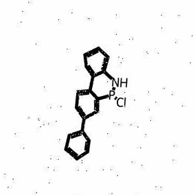 ClP1Nc2ccccc2-c2ccc(-c3ccccc3)cc21